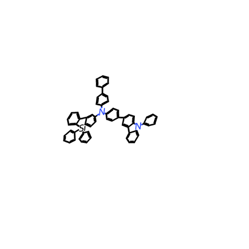 c1ccc(-c2ccc(N(c3ccc(-c4ccc5c(c4)c4ccccc4n5-c4ccccc4)cc3)c3ccc4c(c3)-c3ccccc3[Si]4(c3ccccc3)c3ccccc3)cc2)cc1